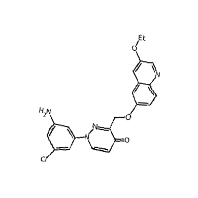 CCOc1cnc2ccc(OCc3nn(-c4cc(N)cc(Cl)c4)ccc3=O)cc2c1